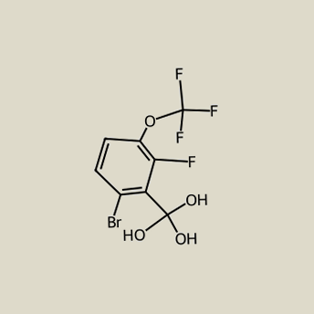 OC(O)(O)c1c(Br)ccc(OC(F)(F)F)c1F